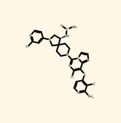 CC(C)(C)[S+]([O-])N[C@@H]1CN(c2ccnc(Cl)c2)CC12CCN(c1nc(Cl)c(Sc3ccnc(N)c3Cl)c3nccn13)CC2